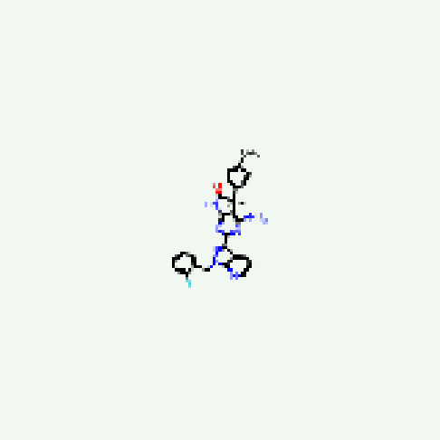 CC(=O)Oc1ccc([C@@]2(C)C(=O)Nc3nc(-c4nn(Cc5ccccc5F)c5ncccc45)nc(N)c32)cc1